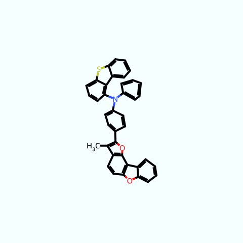 Cc1c(-c2ccc(N(c3ccccc3)c3cccc4sc5ccccc5c34)cc2)oc2c1ccc1oc3ccccc3c12